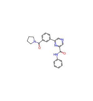 O=C(Nc1ccccc1)c1cncc(-c2cccc(C(=O)N3CCCC3)c2)n1